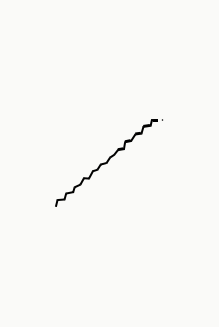 [CH]=C/C=C/C=C/C=C/C=C/CCCCCCCCCCCCCCC